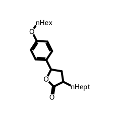 CCCCCCCC1CC(c2ccc(OCCCCCC)cc2)OC1=O